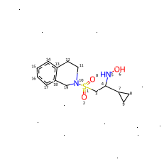 O=S(=O)(CC(NO)C1CC1)N1CCc2ccccc2C1